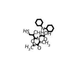 C1CCC(NC2CCCCC2)CC1.COC(=O)[C@@H](C)N(CC(=O)O)C(=O)C(C)CS